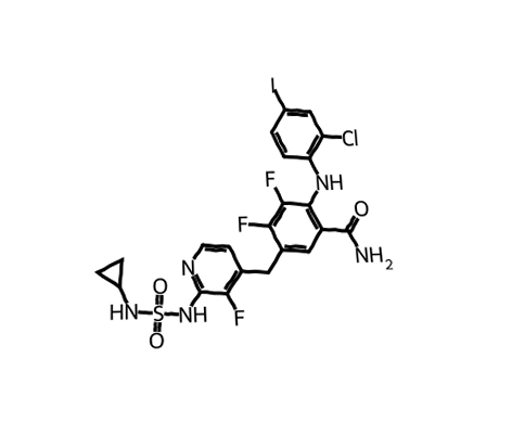 NC(=O)c1cc(Cc2ccnc(NS(=O)(=O)NC3CC3)c2F)c(F)c(F)c1Nc1ccc(I)cc1Cl